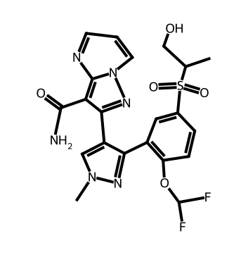 CC(CO)S(=O)(=O)c1ccc(OC(F)F)c(-c2nn(C)cc2-c2nn3cccnc3c2C(N)=O)c1